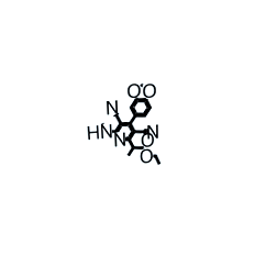 CCOC(=O)C(C)c1nc(NC)c(C#N)c(-c2ccc3c(c2)OCO3)c1C#N